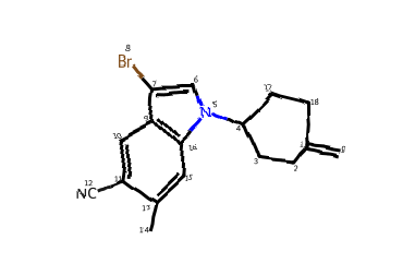 C=C1CCC(n2cc(Br)c3cc(C#N)c(C)cc32)CC1